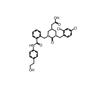 O=C(O)CC1CN(Cc2ccc(Cl)cc2Cl)C(=O)N(Cc2ccccc2C(=O)Nc2ccc(CCO)cc2)C1